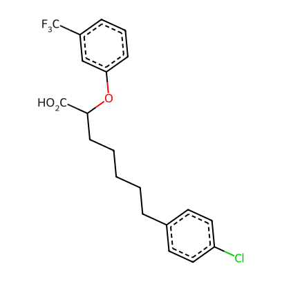 O=C(O)C(CCCCCc1ccc(Cl)cc1)Oc1cccc(C(F)(F)F)c1